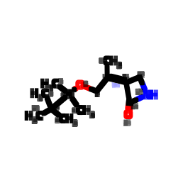 C/C(CO[Si](C)(C)C(C)(C)C)=C1\CNC1=O